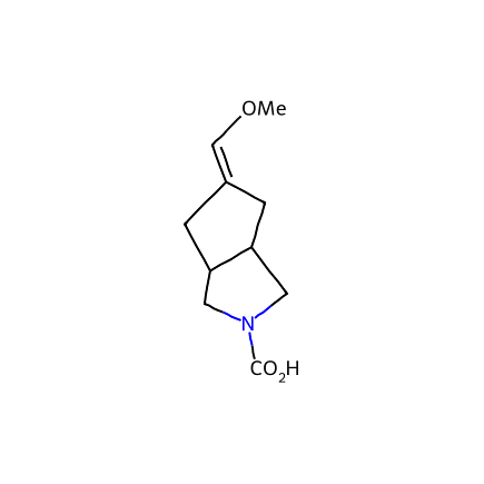 COC=C1CC2CN(C(=O)O)CC2C1